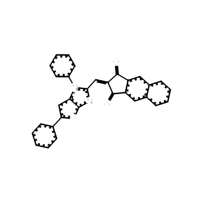 O=C1C(=Cc2nc3oc(-c4ccccc4)cc3n2-c2ccccc2)C(=O)c2cc3ccccc3cc21